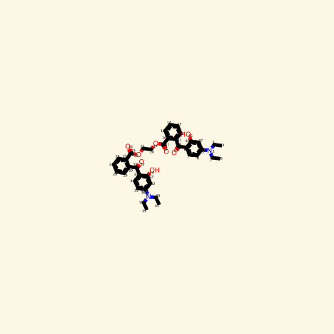 CCN(CC)c1ccc(C(=O)c2ccccc2C(=O)OCCOC(=O)c2ccccc2C(=O)c2ccc(N(CC)CC)cc2O)c(O)c1